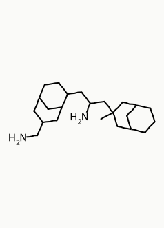 CC1(CC(N)CC2CCC3CC(CN)CC2C3)CC2CCCC(C2)C1